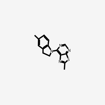 Cc1ccc2c(c1)CCN2c1ncnc2sc(C)nc12